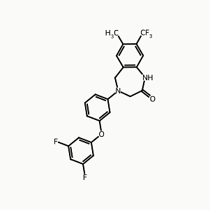 Cc1cc2c(cc1C(F)(F)F)NC(=O)CN(c1cccc(Oc3cc(F)cc(F)c3)c1)C2